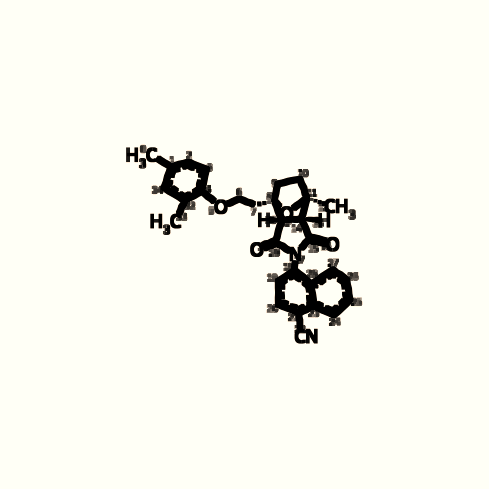 Cc1ccc(OCC[C@]23CC[C@](C)(O2)[C@@H]2C(=O)N(c4ccc(C#N)c5ccccc45)C(=O)[C@@H]23)c(C)c1